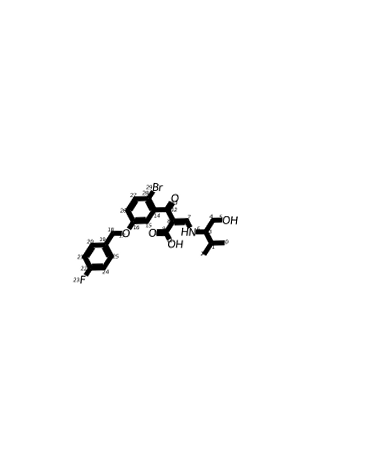 CC(C)C(CO)NC=C(C(=O)O)C(=O)c1cc(OCc2ccc(F)cc2)ccc1Br